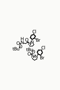 CC(C)(C)OC(=O)N1CCCN1c1ccc(Cl)cc1Br.CC(C)(C)OC(=O)NCC(=O)N1CCCN1c1ccc(Cl)cc1Br